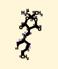 C=C\C=C/C(=C\I)/N=C/C1C(=O)OC(C)(C)OC1=O